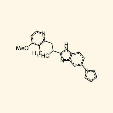 COc1ccnc(CC(O)c2nc3cc(-n4cccc4)ccc3[nH]2)c1C